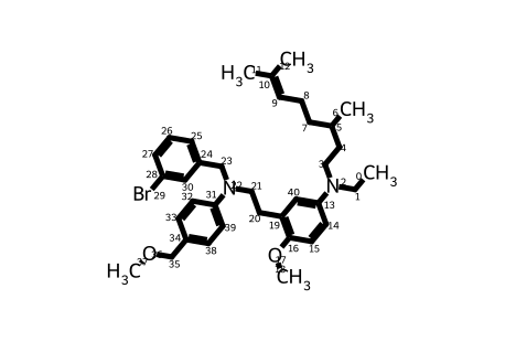 CCN(CCC(C)CCC=C(C)C)c1ccc(OC)c(CCN(Cc2cccc(Br)c2)c2ccc(COC)cc2)c1